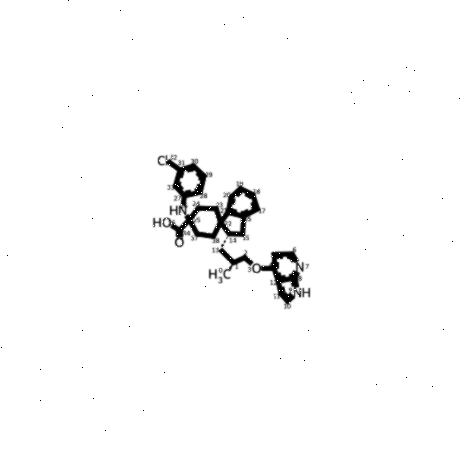 C[C@@H](COc1ccnc2[nH]ccc12)C[C@H]1Cc2ccccc2C12CCC(Nc1cccc(Cl)c1)(C(=O)O)CC2